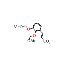 COCOc1cccc(C=CC(=O)O)c1OCOC